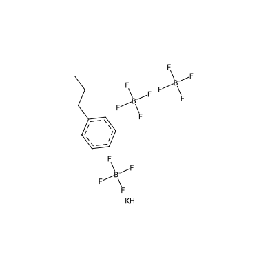 CCCc1ccccc1.F[B-](F)(F)F.F[B-](F)(F)F.F[B-](F)(F)F.[KH]